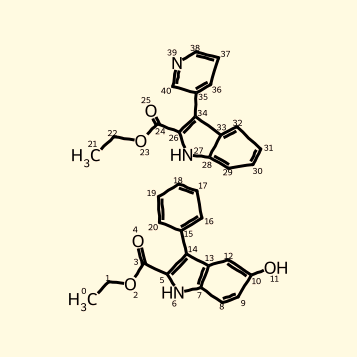 CCOC(=O)c1[nH]c2ccc(O)cc2c1-c1ccccc1.CCOC(=O)c1[nH]c2ccccc2c1-c1cccnc1